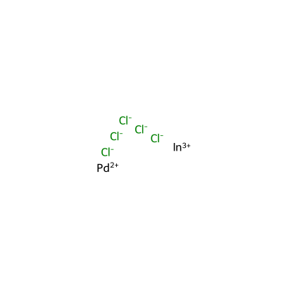 [Cl-].[Cl-].[Cl-].[Cl-].[Cl-].[In+3].[Pd+2]